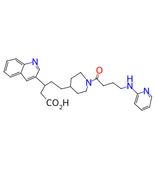 O=C(O)CC(CCC1CCN(C(=O)CCCNc2ccccn2)CC1)c1cnc2ccccc2c1